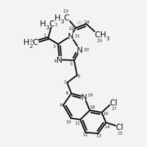 C=C(C)c1nc(CCc2ccc3ccc(Cl)c(Cl)c3n2)nn1/C(C)=C\C